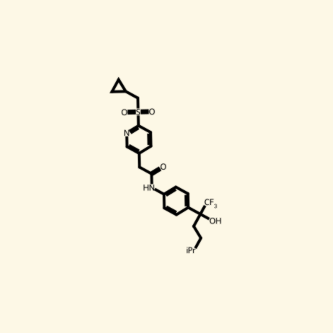 CC(C)CCC(O)(c1ccc(NC(=O)Cc2ccc(S(=O)(=O)CC3CC3)nc2)cc1)C(F)(F)F